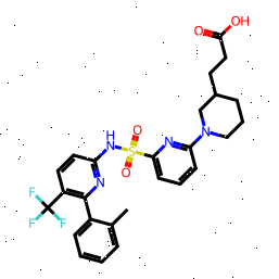 Cc1ccccc1-c1nc(NS(=O)(=O)c2cccc(N3CCCC(CCC(=O)O)C3)n2)ccc1C(F)(F)F